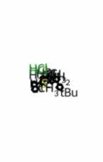 CC1=Cc2c(-c3ccc(C(C)(C)C)cc3)ccc(C)c2[CH]1[Zr]([CH3])([CH3])(=[SiH2])[C]1=C2SC(C)C(c3cccc4ccccc34)=C2C=C1C(C)C.Cl.Cl